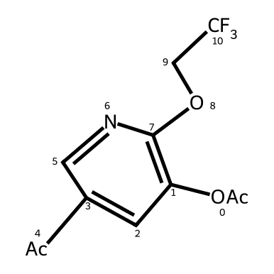 CC(=O)Oc1cc(C(C)=O)cnc1OCC(F)(F)F